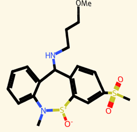 COCCCNC1c2ccccc2N(C)[S+]([O-])c2cc(S(C)(=O)=O)ccc21